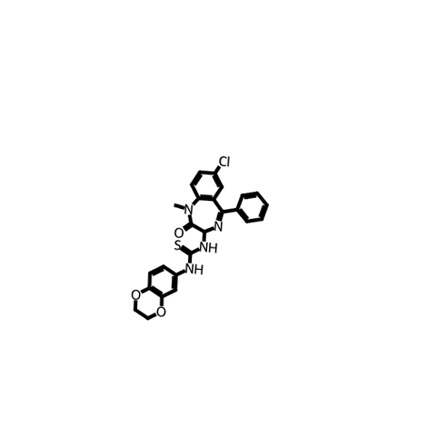 CN1C(=O)C(NC(=S)Nc2ccc3c(c2)OCCO3)N=C(c2ccccc2)c2cc(Cl)ccc21